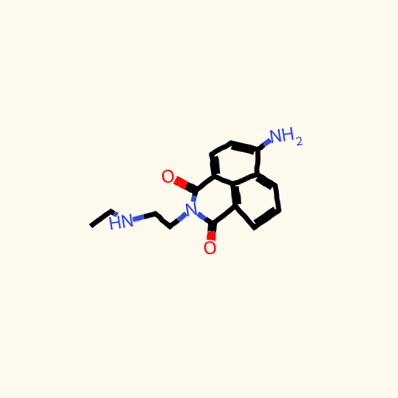 CCNCCN1C(=O)c2cccc3c(N)ccc(c23)C1=O